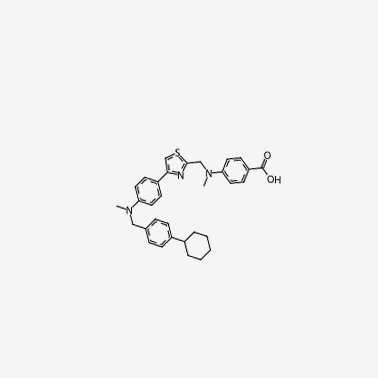 CN(Cc1ccc(C2CCCCC2)cc1)c1ccc(-c2csc(CN(C)c3ccc(C(=O)O)cc3)n2)cc1